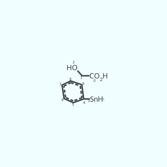 O=C(O)CO.[SnH][c]1ccccc1